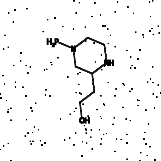 OCCC1CN(P)CCN1